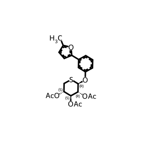 CC(=O)O[C@@H]1[C@@H](OC(C)=O)[C@H](OC(C)=O)CS[C@H]1Oc1cccc(-c2ccc(C)o2)c1